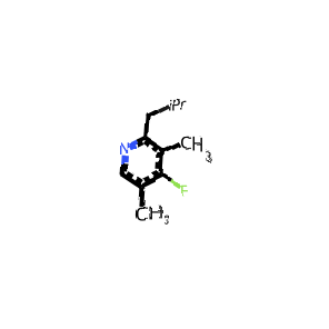 Cc1cnc(CC(C)C)c(C)c1F